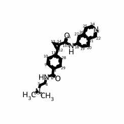 CN(C)CCNC(=O)c1ccc(C2CC2C(=O)Nc2ccc3cnccc3c2)cc1